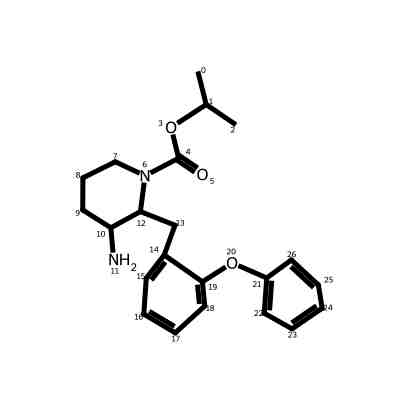 CC(C)OC(=O)N1CCCC(N)C1Cc1ccccc1Oc1ccccc1